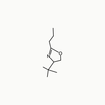 CCCC1=NC(C(C)(C)C)CO1